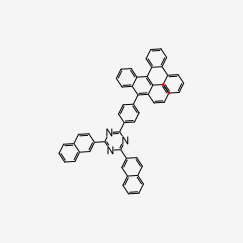 c1ccc(-c2ccccc2-c2c3ccccc3c(-c3ccc(-c4nc(-c5ccc6ccccc6c5)nc(-c5ccc6ccccc6c5)n4)cc3)c3ccccc23)cc1